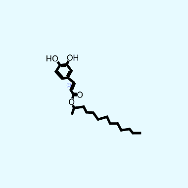 CCCCCCCCCCCC(C)OC(=O)/C=C/c1ccc(O)c(O)c1